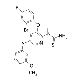 COc1cccc(Sc2cnc(NC(N)=S)c(Oc3ccc(F)cc3Br)c2)c1